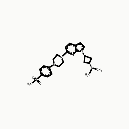 CN(C)[C@H]1C[C@@H](n2ccc3ccc(N4CCN(c5ccc(S(C)(=O)=O)cc5)CC4)nc32)C1